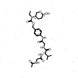 CCN(C(=O)OCc1ccc(NC(=O)CNC(=O)[C@@H](NC(=O)CNC(C)=O)C(C)C)cc1)[C@@H]1CC[C@H](O)OC1